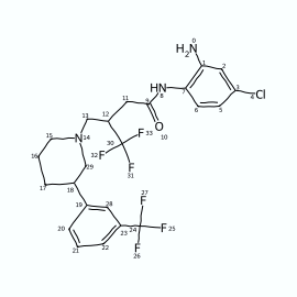 Nc1cc(Cl)ccc1NC(=O)CC(CN1CCCC(c2cccc(C(F)(F)F)c2)C1)C(F)(F)F